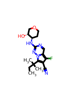 CCC(C)(C)c1c(C#N)c(F)c2cnc(N[C@@H]3CCOC[C@H]3O)nn12